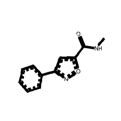 CNC(=O)c1cc(-c2cc[c]cc2)no1